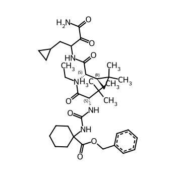 CCN(C(=O)[C@@H](NC(=O)NC1(C(=O)OCc2ccccc2)CCCCC1)C(C)(C)C)[C@H](C(=O)NC(CC1CC1)C(=O)C(N)=O)[C@@H]1CC1(C)C